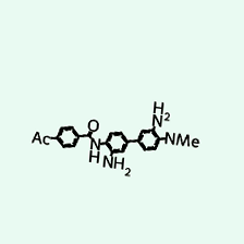 CNc1ccc(-c2ccc(NC(=O)c3ccc(C(C)=O)cc3)c(N)c2)cc1N